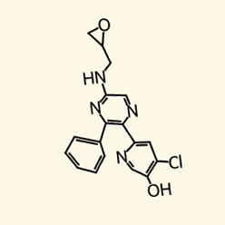 Oc1cnc(-c2ncc(NCC3CO3)nc2-c2ccccc2)cc1Cl